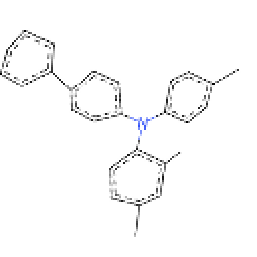 Cc1ccc(N(c2ccc(-c3ccccc3)cc2)c2ccc(C)cc2C)cc1